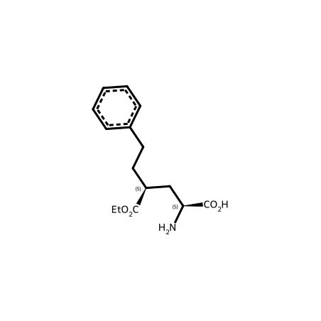 CCOC(=O)[C@@H](CCc1ccccc1)C[C@H](N)C(=O)O